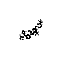 Cn1cnnc1[C@@H](c1cccc(-n2cc3c(C(F)(F)F)cc(CN4CCCC(C(F)(F)F)C4)cn3c2=O)c1)C1CCC1